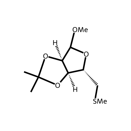 COC1O[C@H](CSC)[C@H]2OC(C)(C)O[C@@H]12